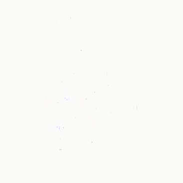 Cc1cc(C)cc(S(=O)(=O)c2c(C(=O)NCCCSc3cccs3)[nH]c3ccc(Cl)cc23)c1